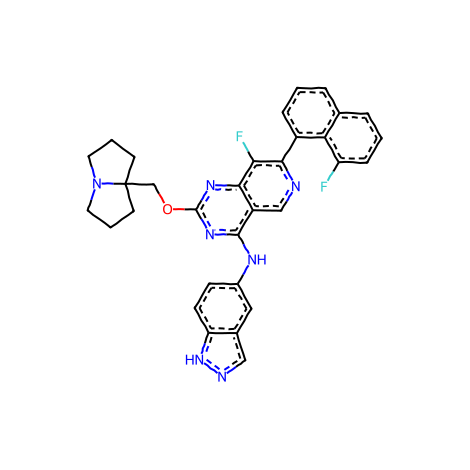 Fc1c(-c2cccc3cccc(F)c23)ncc2c(Nc3ccc4[nH]ncc4c3)nc(OCC34CCCN3CCC4)nc12